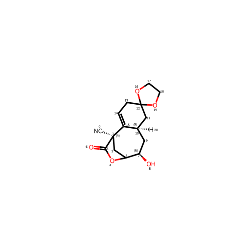 N#C[C@]12CC(OC1=O)[C@H](O)C[C@@H]1CC3(CC=C12)OCCO3